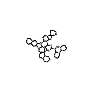 c1ccc2cc3c(cc2c1)c1ccccc1n3-c1ccc2c(oc3ccccc32)c1-c1nc(-c2cccc3ccccc23)nc(-c2cc3ccccc3c3ccccc23)n1